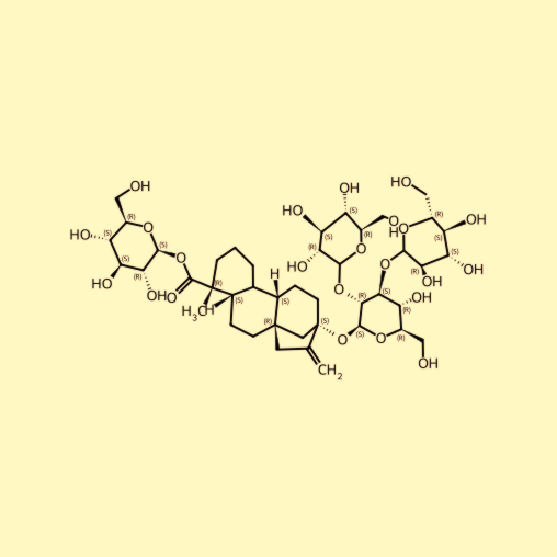 C=C1C[C@@]23CC[C@H]4C(CCC[C@@]4(C)C(=O)O[C@@H]4O[C@H](CO)[C@@H](O)[C@H](O)[C@H]4O)[C@@H]2CC[C@]1(O[C@@H]1O[C@H](CO)[C@@H](O)[C@H](OC2O[C@H](CO)[C@@H](O)[C@H](O)[C@H]2O)[C@H]1OC1O[C@H](CO)[C@@H](O)[C@H](O)[C@H]1O)C3